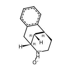 [O-][NH+]1CC[C@]23CCCC[C@H]2[C@H]1Cc1ccccc13